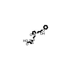 O=C(O)c1csc(SCCN2C(=O)CC[C@@H]2/C=C/[C@@H](O)COC2CCCCC2)n1